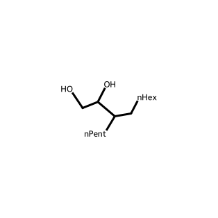 CCCCCCCC(CCCCC)C(O)CO